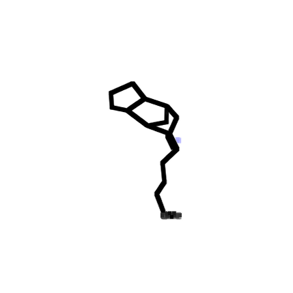 COCCC/C=C1/CC2CC1C1CCCC21